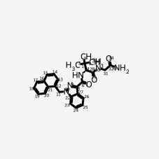 CC(C)(C)[C@H](NC(=O)c1nn(Cc2cccc3ccccc23)c2ccccc12)C(=O)NCC(N)=O